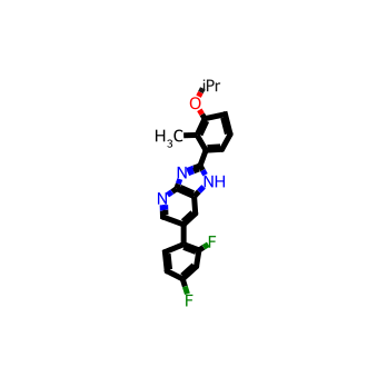 Cc1c(OC(C)C)cccc1-c1nc2ncc(-c3ccc(F)cc3F)cc2[nH]1